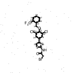 O=C(CBr)Nc1nc(-c2cc(Cl)c(OCc3ccccc3C(F)(F)F)c(Cl)c2)cs1